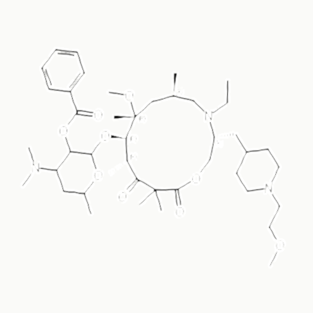 CCN1C[C@H](C)C[C@@](C)(OC)[C@H](OC2OC(C)CC(N(C)C)C2OC(=O)c2ccccc2)[C@@H](C)C(=O)C(C)(C)C(=O)OC[C@H]1CC1CCN(CCOC)CC1